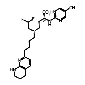 N#Cc1cnc(N[C@@H](CCN(CCCCc2ccc3c(n2)NCCC3)CC(F)F)C(=O)O)nc1